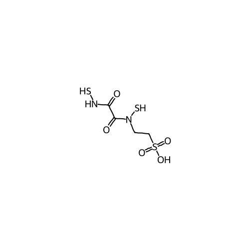 O=C(NS)C(=O)N(S)CCS(=O)(=O)O